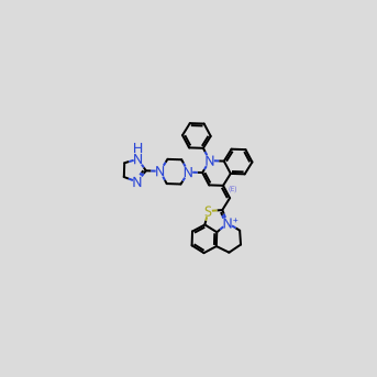 C1=C(N2CCN(C3=NCCN3)CC2)N(c2ccccc2)c2ccccc2/C1=C/c1sc2cccc3c2[n+]1CCC3